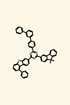 CC1(C)c2ccccc2-c2cc(-c3nc(-c4ccc(-c5cccc(-c6ccccc6)c5)cc4)nc(-c4ccc5c(c4)oc4cccc(-c6ccccc6)c45)n3)ccc21